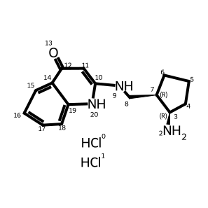 Cl.Cl.N[C@@H]1CCC[C@@H]1CNc1cc(=O)c2ccccc2[nH]1